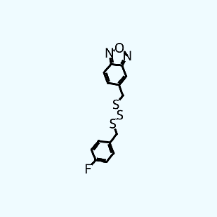 Fc1ccc(CSSSCc2ccc3nonc3c2)cc1